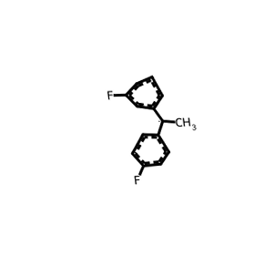 C[C](c1ccc(F)cc1)c1cccc(F)c1